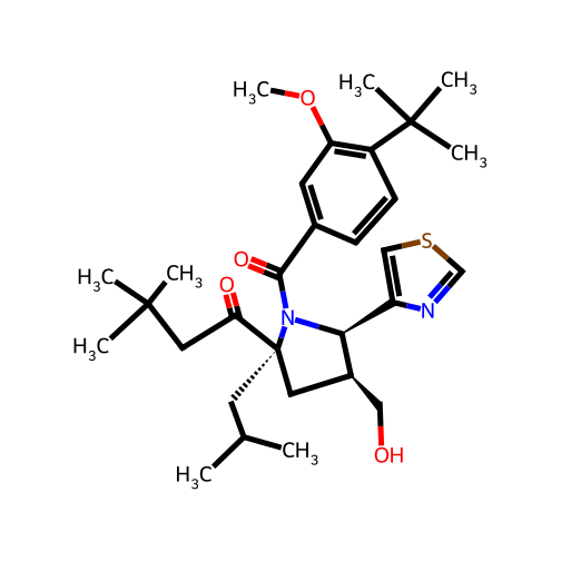 COc1cc(C(=O)N2[C@@H](c3cscn3)[C@@H](CO)C[C@@]2(CC(C)C)C(=O)CC(C)(C)C)ccc1C(C)(C)C